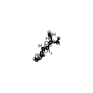 Cc1c(COc2cc(OCc3cncc(C#N)c3)c(CNCC3CCC(=O)N3)cc2Cl)cccc1-c1cccc(-c2ccn3c(=O)c(CNCC4CCC(=O)N4)cnc3c2)c1C